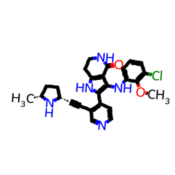 COc1c(Cl)cccc1Nc1c(-c2ccncc2C#C[C@H]2CC[C@@H](C)N2)[nH]c2c1C(=O)NCC2